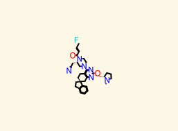 CN1CCC[C@H]1COc1nc2c(c(N3CCN(C(=O)/C=C/CF)[C@@H](CC#N)C3)n1)CC[C@@]1(CCc3ccccc31)C2